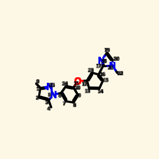 Cc1cc(C)n(-c2cccc(Oc3cccc(-c4nccn4C)c3)c2)n1